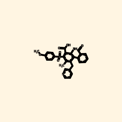 COc1ccc(S(=O)(=O)c2c(C)c(Cc3cccnc3)c(-c3ccccc3C=O)c(N)c2C(=O)O)cc1